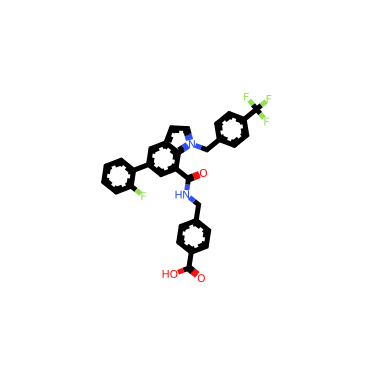 O=C(O)c1ccc(CNC(=O)c2cc(-c3ccccc3F)cc3ccn(Cc4ccc(C(F)(F)F)cc4)c23)cc1